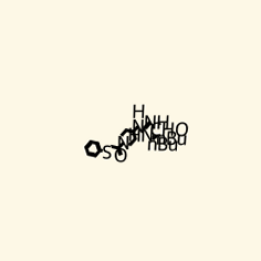 CCCCC(C=O)(CCCC)NC(=N)NC1CCN(C(=O)CSc2ccccc2)CC1